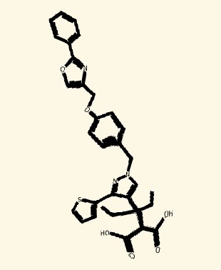 CCC(CC)(c1cn(Cc2ccc(OCc3coc(-c4ccccc4)n3)cc2)nc1-c1cccs1)C(C(=O)O)C(=O)O